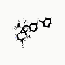 C[C@@H](c1cccc(Oc2ccccc2)c1)[C@@]1(C(=O)O)[C@H](/C=C\C(=O)O)C1(C)C